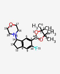 CC1(C)OB(c2cc3c(cc2F)CCC3N2CCOCC2)OC1(C)C